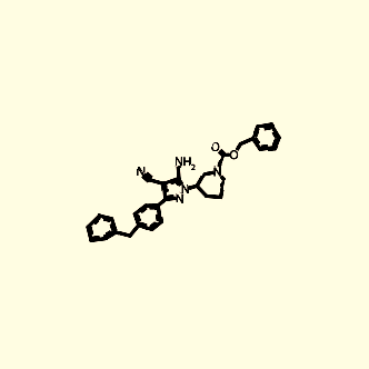 N#Cc1c(-c2ccc(Cc3ccccc3)cc2)nn(C2CCCN(C(=O)OCc3ccccc3)C2)c1N